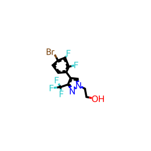 OCCn1cc(-c2ccc(Br)c(F)c2F)c(C(F)(F)F)n1